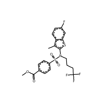 COC(=O)c1ccc(S(=O)(=O)N(CCCC(F)(F)F)c2sc3cc(F)ccc3c2C)cc1